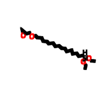 CCO[SiH](CCCCCCCCCCCCCCCCCOCC1CO1)OCC